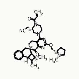 C=CC(=O)N1CCN(c2nc(OC[C@@H]3CCCN3C)nc3c2CC[C@]2(Cc4ccccc4[C@@H]4C(C)[C@H](C)C42)C3=O)C[C@@H]1CC#N